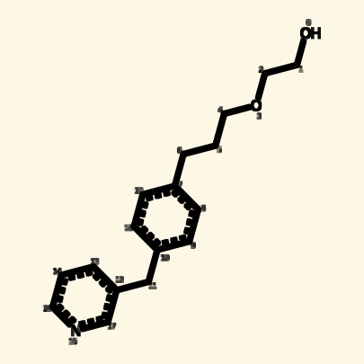 OCCOCCCc1ccc(Cc2cccnc2)cc1